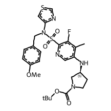 COc1ccc(CN(c2cscn2)S(=O)(=O)c2ncc(N[C@H]3CCN(C(=O)OC(C)(C)C)C3)c(C)c2F)cc1